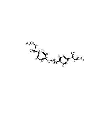 CCC(=O)c1ccc(OBOc2ccc(C(=O)CC)cc2)cc1